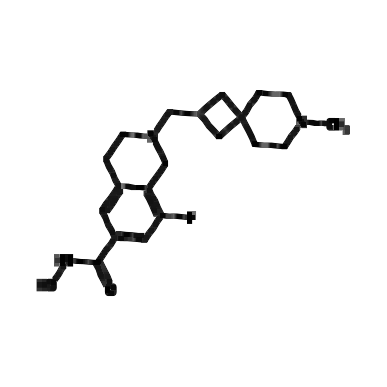 CN1CCC2(CC1)CC(CN1CCc3cc(C(=O)NO)cc(F)c3C1)C2